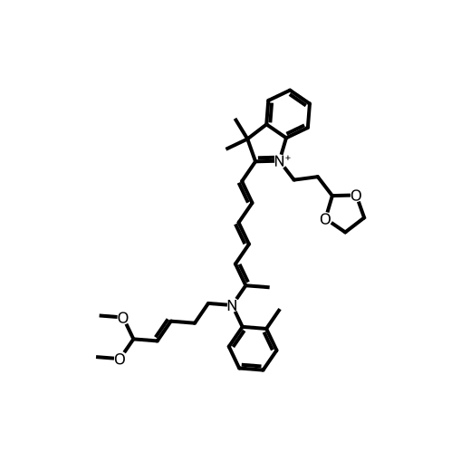 COC(/C=C/CCN(/C(C)=C/C=C/C=C/C1=[N+](CCC2OCCO2)c2ccccc2C1(C)C)c1ccccc1C)OC